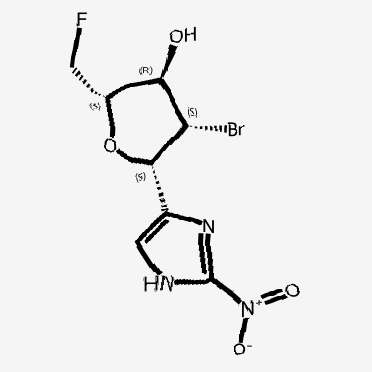 O=[N+]([O-])c1nc([C@@H]2O[C@H](CF)[C@@H](O)[C@@H]2Br)c[nH]1